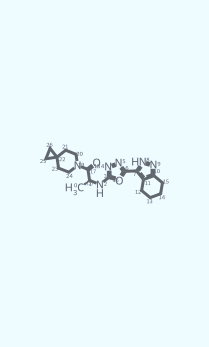 C[C@H](Nc1nnc(-c2[nH]nc3c2CCCC3)o1)C(=O)N1CCC2(CC1)CC2